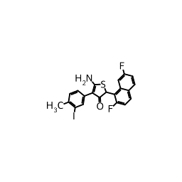 Cc1ccc(C2=C(N)SC(c3c(F)ccc4ccc(F)cc34)C2=O)cc1I